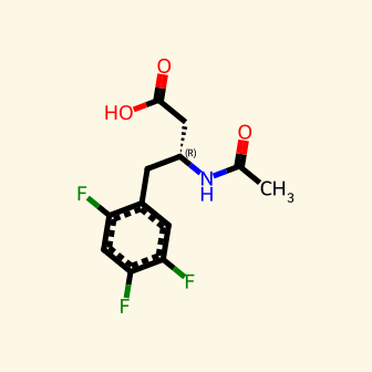 CC(=O)N[C@@H](CC(=O)O)Cc1cc(F)c(F)cc1F